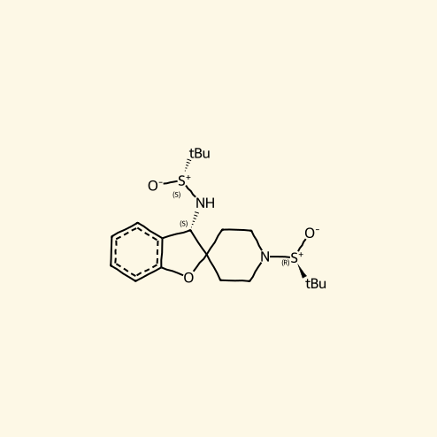 CC(C)(C)[S@+]([O-])N1CCC2(CC1)Oc1ccccc1[C@@H]2N[S@+]([O-])C(C)(C)C